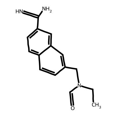 CCN(C=O)Cc1ccc2ccc(C(=N)N)cc2c1